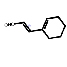 O=C/C=C/C1=CCCCC1